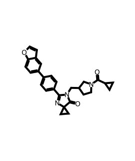 O=C(C1CC1)N1CCC(CN2C(=O)C3(CC3)N=C2c2ccc(-c3ccc4occc4c3)cc2)C1